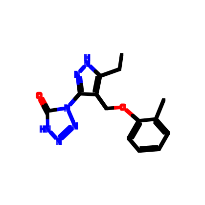 CCc1[nH]nc(-n2nn[nH]c2=O)c1COc1ccccc1C